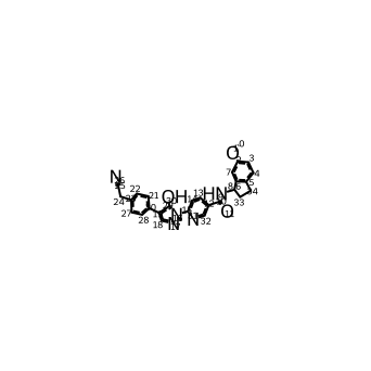 COc1ccc2c(c1)C(NC(=O)c1ccc(-n3ncc(-c4ccc(CC#N)cc4)c3O)nc1)CC2